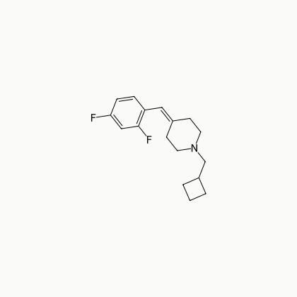 Fc1ccc(C=C2CCN(CC3CCC3)CC2)c(F)c1